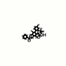 Cc1ccc(-c2c(C)c3c(c(C)c2C(OC(C)(C)C)C(=O)O)CN(C(=O)c2ccccc2)C3)cc1